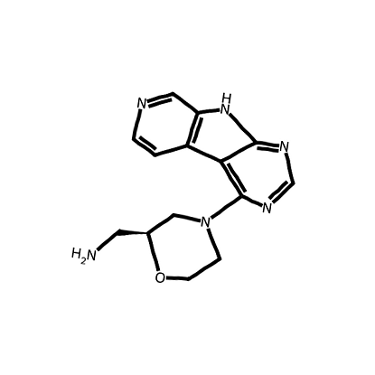 NC[C@H]1CN(c2ncnc3[nH]c4cnccc4c23)CCO1